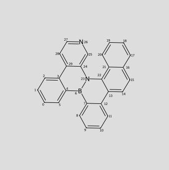 c1ccc2c(c1)B1c3ccccc3-c3ccc4ccccc4c3N1c1cnccc1-2